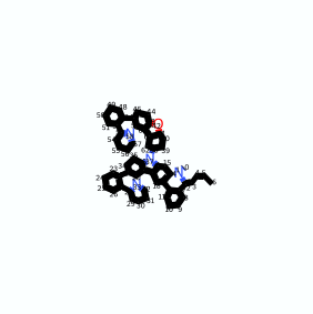 C=N/C(=C\C=C/C)c1ccccc1-c1ccc2c(c1)c1cc(-c3ccccc3-c3ccccn3)ccc1n2-c1ccc2oc3ccc(-c4ccccc4-c4ccccn4)cc3c2c1